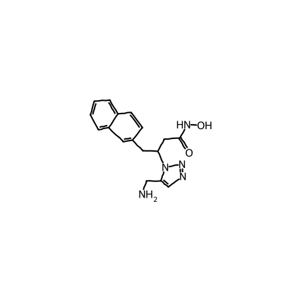 NCc1cnnn1C(CC(=O)NO)Cc1ccc2ccccc2c1